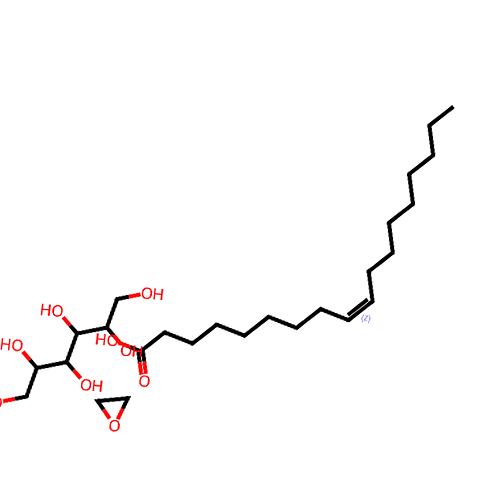 C1CO1.CCCCCCCC/C=C\CCCCCCCC(=O)O.OCC(O)C(O)C(O)C(O)CO